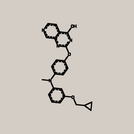 CN(c1ccc(Oc2nc(O)c3ccncc3n2)cc1)c1cccc(OCC2CC2)c1